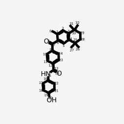 Cc1cc2c(cc1C(=O)c1ccc(C(=O)Nc3ccc(O)cc3)cc1)C(C)(C)CCC2(C)C